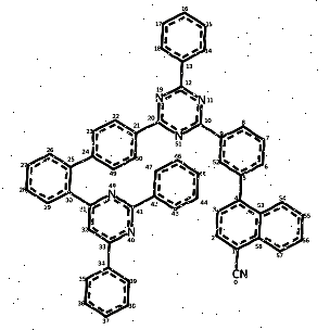 N#Cc1ccc(-c2cccc(-c3nc(-c4ccccc4)nc(-c4ccc(-c5ccccc5-c5cc(-c6ccccc6)nc(-c6ccccc6)n5)cc4)n3)c2)c2ccccc12